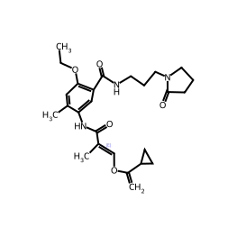 C=C(O/C=C(\C)C(=O)Nc1cc(C(=O)NCCCN2CCCC2=O)c(OCC)cc1C)C1CC1